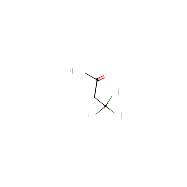 O=CC(=O)CC(Cl)(Cl)Cl